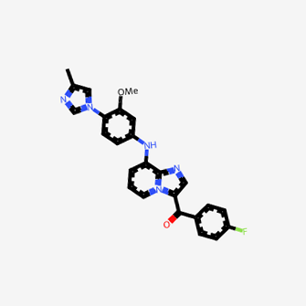 COc1cc(Nc2cccn3c(C(=O)c4ccc(F)cc4)cnc23)ccc1-n1cnc(C)c1